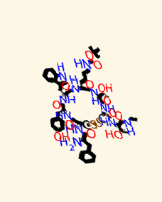 CCNC(=O)[C@@H](NC(=O)[C@@H]1CSSC[C@H](NC(=O)[C@H](N)Cc2ccccc2)C(=O)N[C@@H](Cc2ccc(O)cc2)C(=O)N[C@H](Cc2c[nH]c3ccccc23)C(=O)N[C@@H](CCCCNC(=O)OC(C)(C)C)C(=O)N[C@@H]([C@@H](C)O)C(=O)N1)[C@@H](C)O